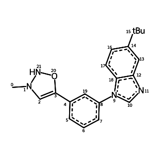 CN1C=C(c2cccc(-n3cnc4cc(C(C)(C)C)ccc43)c2)ON1